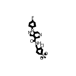 CS(=O)(=O)c1ccc(CNC(=O)c2cncc3c2cnn3-c2ccc(F)cc2)c(Cl)c1